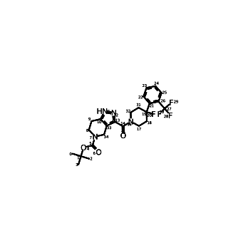 CC(C)(C)OC(=O)N1CCc2[nH]nc(C(=O)N3CCC(F)(c4ccccc4C(F)(F)F)CC3)c2C1